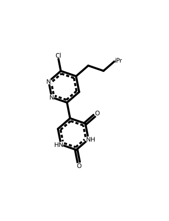 CC(C)CCc1cc(-c2c[nH]c(=O)[nH]c2=O)nnc1Cl